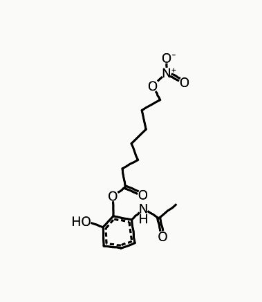 CC(=O)Nc1cccc(O)c1OC(=O)CCCCCCO[N+](=O)[O-]